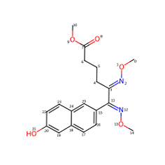 CO/N=C(CCCC(=O)OC)/C(=N/OC)c1ccc2cc(O)ccc2c1